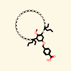 CCCC1(CC)CCCCCCCCCCCCCCCCCCCCCC(CC)(CCC)C2CC(OCc3ccc(C(=O)O)cc3)CC(=C2OC)C1